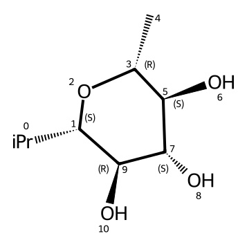 CC(C)[C@@H]1O[C@H](C)[C@@H](O)[C@H](O)[C@H]1O